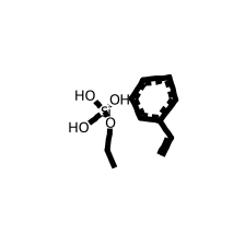 C=Cc1ccccc1.CCO[Si](O)(O)O